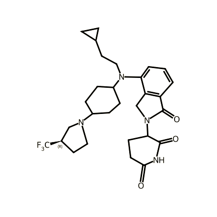 O=C1CCC(N2Cc3c(cccc3N(CCC3CC3)C3CCC(N4CC[C@@H](C(F)(F)F)C4)CC3)C2=O)C(=O)N1